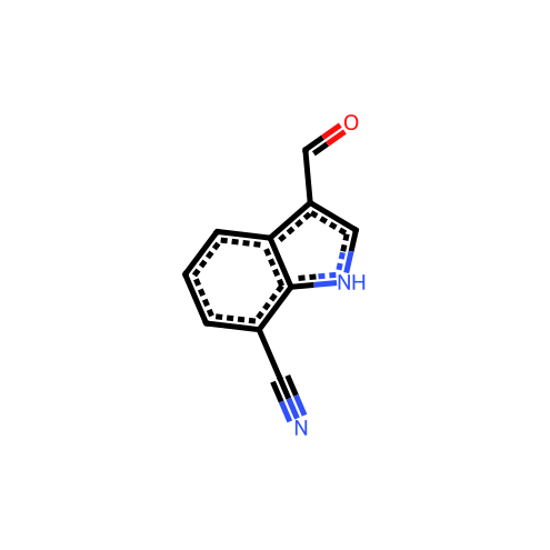 N#Cc1cccc2c(C=O)c[nH]c12